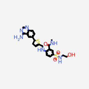 CNC(=O)c1cc(S(=O)(=O)NCCO)ccc1NCC1=CCC(c2ccc3ncnc(N)c3c2)S1